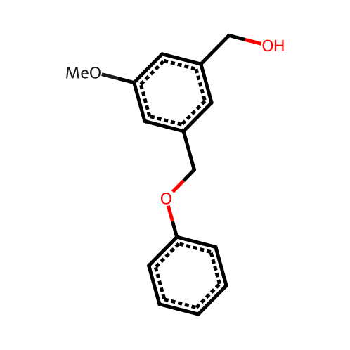 COc1cc(CO)cc(COc2ccccc2)c1